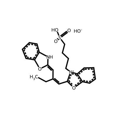 CCC(=Cc1oc2ccccc2[n+]1CCCCS(=O)(=O)O)C=C1Nc2ccccc2O1.[OH-]